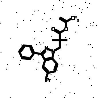 C=C(OC(=O)C(C)(C)Cn1nc(-c2ccccc2)c2cc(C(C)C)ccc21)C(F)(F)F